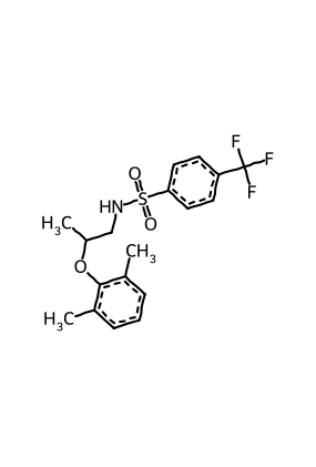 Cc1cccc(C)c1OC(C)CNS(=O)(=O)c1ccc(C(F)(F)F)cc1